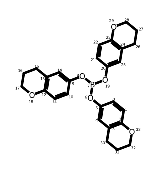 c1cc2c(cc1OB(Oc1ccc3c(c1)CCCO3)Oc1ccc3c(c1)CCCO3)CCCO2